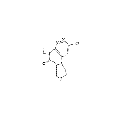 CCN1C(=O)C2COCCN2c2cc(Cl)nnc21